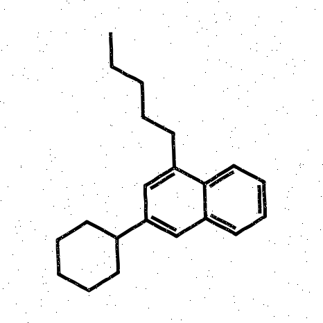 CCCCCc1cc(C2CCCCC2)cc2ccccc12